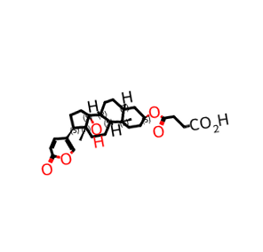 C[C@]12CC[C@H](OC(=O)CCC(=O)O)C[C@H]1CC[C@@H]1[C@@H]2CC[C@]2(C)[C@@H](c3ccc(=O)oc3)CC[C@]12O